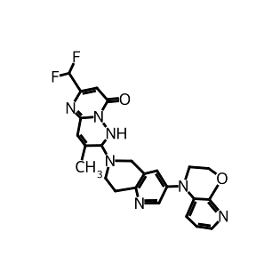 CC1=Cc2nc(C(F)F)cc(=O)n2NC1N1CCc2ncc(N3CCOc4ncccc43)cc2C1